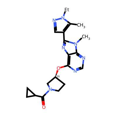 CCn1ncc(-c2nc3c(O[C@H]4CCN(C(=O)C5CC5)C4)ncnc3n2C)c1C